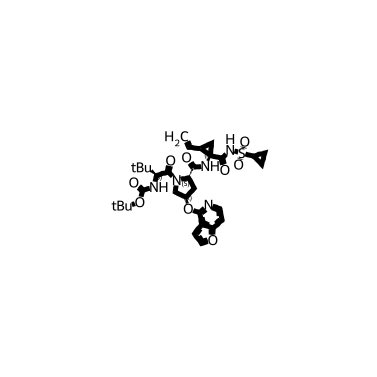 C=CC1C[C@]1(NC(=O)[C@@H]1C[C@@H](Oc2nccc3occc23)CN1C(=O)[C@@H](NC(=O)OC(C)(C)C)C(C)(C)C)C(=O)NS(=O)(=O)C1CC1